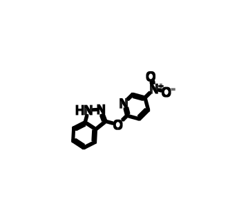 O=[N+]([O-])c1ccc(Oc2n[nH]c3ccccc23)nc1